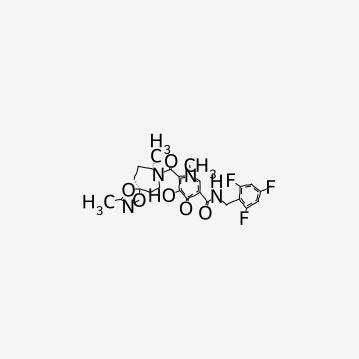 CC1=NO[C@@]2(CC[C@H](C)N(C(=O)c3c(O)c(=O)c(C(=O)NCc4c(F)cc(F)cc4F)cn3C)CC2)O1